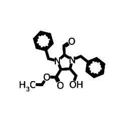 CCOC(=O)C1C(CO)N(Cc2ccccc2)C(C=O)N1Cc1ccccc1